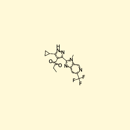 CCS(=O)(=O)c1c(-c2nc3cc(C(F)(F)F)ncc3n2C)n[nH]c1C1CC1